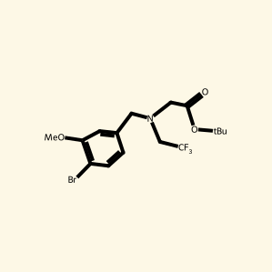 COc1cc(CN(CC(=O)OC(C)(C)C)CC(F)(F)F)ccc1Br